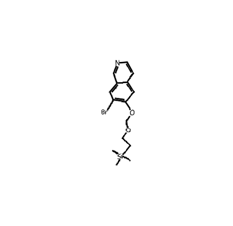 C[Si](C)(C)CCOCOc1cc2ccncc2cc1Br